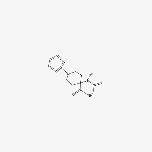 CCCN1C(=O)CNC(=O)C12CCN(c1ccccc1)CC2